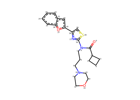 O=C(C1CCC1)N(CCCN1CCOCC1)c1nc(-c2cc3ccccc3o2)cs1